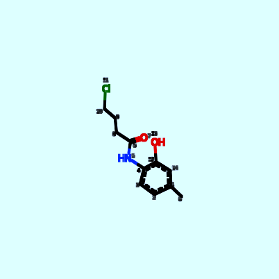 Cc1ccc(NC(=O)CCCCl)c(O)c1